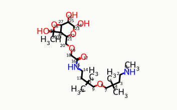 CNCCC(C)(C)COCC(C)(C)CCNC(=O)COCC1O[C@@H](O)C(O)C2OC(C)(O)[C@H]12